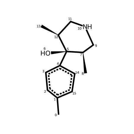 Cc1ccc([C@@]2(O)[C@H](C)CNC[C@@H]2C)cc1